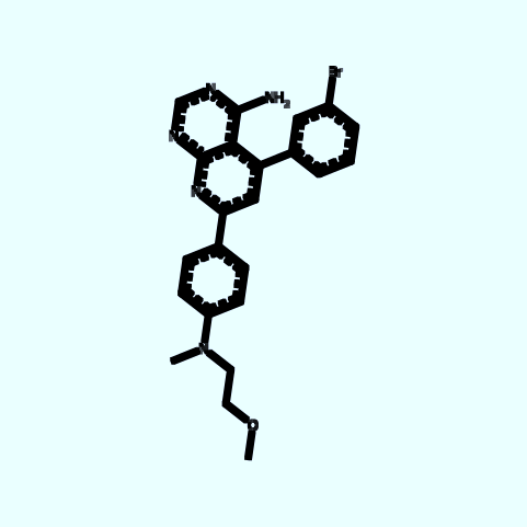 COCCN(C)c1ccc(-c2cc(-c3cccc(Br)c3)c3c(N)ncnc3n2)cc1